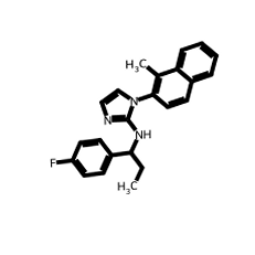 CCC(Nc1nccn1-c1ccc2ccccc2c1C)c1ccc(F)cc1